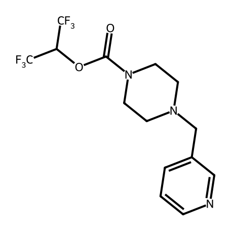 O=C(OC(C(F)(F)F)C(F)(F)F)N1CCN(Cc2cccnc2)CC1